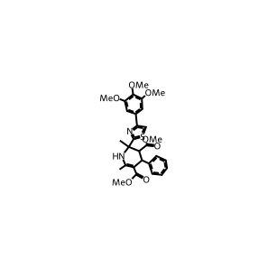 COC(=O)C1=C(C)NC(C)(c2nc(-c3cc(OC)c(OC)c(OC)c3)cs2)C(C(=O)OC)C1c1ccccc1